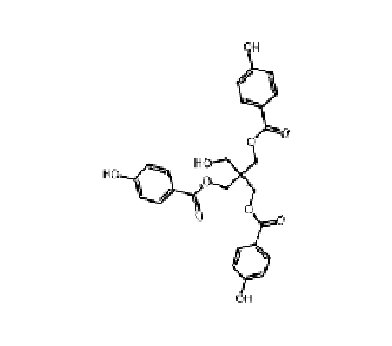 O=C(OCC(CO)(COC(=O)c1ccc(O)cc1)COC(=O)c1ccc(O)cc1)c1ccc(O)cc1